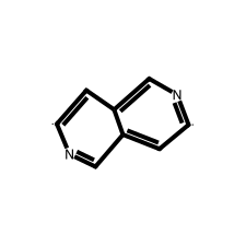 [c]1cc2cn[c]cc2cn1